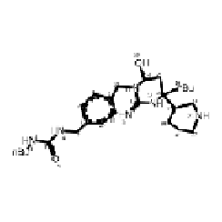 CCCCNC(=O)NCc1ccc(CN2C(=N)NC(CCCC)(C3CCCNC3)CC2O)cc1